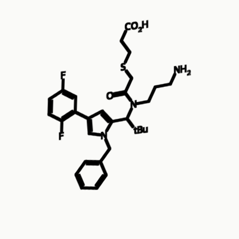 CC(C)(C)C(c1cc(-c2cc(F)ccc2F)cn1Cc1ccccc1)N(CCCN)C(=O)CSCCC(=O)O